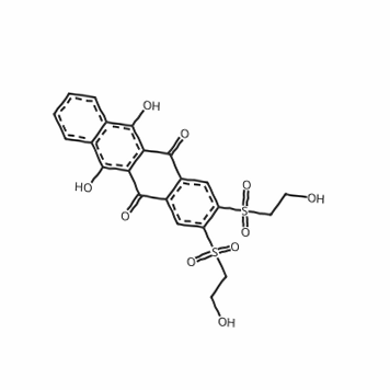 O=C1c2cc(S(=O)(=O)CCO)c(S(=O)(=O)CCO)cc2C(=O)c2c1c(O)c1ccccc1c2O